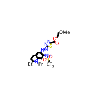 CCC1CCc2cc(N=Nc3nnc(C(=O)OCCOC)s3)c(NS(=O)(=O)CC(F)(F)F)cc2N1C(C)C